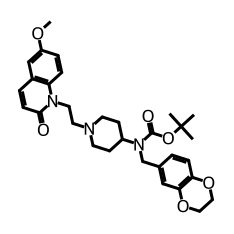 COc1ccc2c(ccc(=O)n2CCN2CCC(N(Cc3ccc4c(c3)OCCO4)C(=O)OC(C)(C)C)CC2)c1